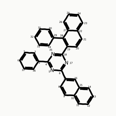 c1ccc(-c2nc(-c3ccc4ccccc4c3)nc(-c3ccc4ccccc4c3-c3ccccc3)n2)cc1